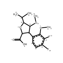 COc1c(C2C(C(=O)O)OC(C(C)C)C2OC)ccc(F)c1F